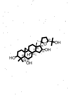 CC(C)(O)[C@@H]1CC[C@](C)([C@H]2[C@@H](O)C[C@@]3(C)[C@@H]4C[C@H](O)[C@H]5C(C)(C)C(O)CCC56C[C@@]46CC[C@]23C)O1